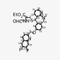 CCOC(=O)[C@H](CSC1c2cc(OCc3ccc4cc(F)c(F)cc4n3)ccc2CN(C)c2ncccc21)NC=O